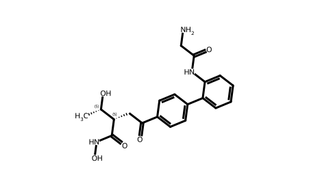 C[C@H](O)[C@H](CC(=O)c1ccc(-c2ccccc2NC(=O)CN)cc1)C(=O)NO